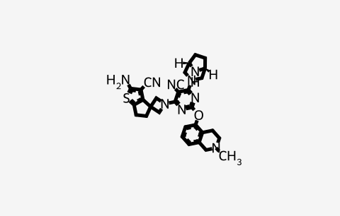 CN1CCc2c(cccc2Oc2nc(N3C[C@H]4CC[C@@H](C3)N4)c(C#N)c(N3CC4(CCc5sc(N)c(C#N)c54)C3)n2)C1